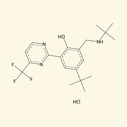 CC(C)(C)NCc1cc(C(C)(C)C)cc(-c2nccc(C(F)(F)F)n2)c1O.Cl